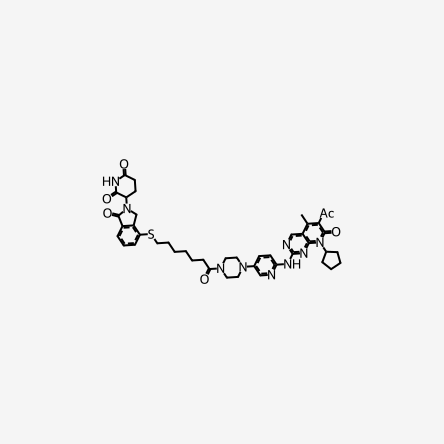 CC(=O)c1c(C)c2cnc(Nc3ccc(N4CCN(C(=O)CCCCCCSc5cccc6c5CN(C5CCC(=O)NC5=O)C6=O)CC4)cn3)nc2n(C2CCCC2)c1=O